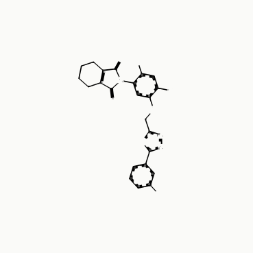 O=C1C2=C(CCCC2)C(=O)N1c1cc(OCc2nnc(-c3cccc(Cl)c3)o2)c(Cl)cc1F